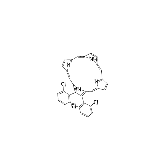 Clc1cccc(Cl)c1-c1c(-c2c(Cl)cccc2Cl)c2cc3nc(cc4ccc(cc5nc(cc1[nH]2)C=C5)[nH]4)C=C3